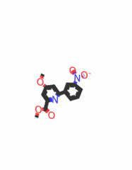 COC(=O)c1cc(OC)cc(-c2cccc([N+](=O)[O-])c2)n1